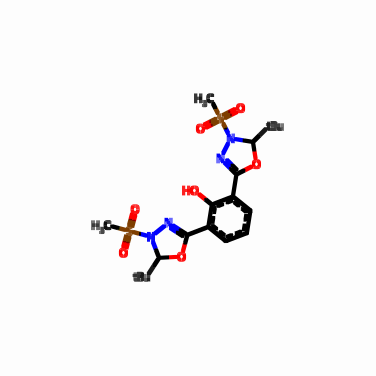 CC(C)(C)C1OC(c2cccc(C3=NN(S(C)(=O)=O)C(C(C)(C)C)O3)c2O)=NN1S(C)(=O)=O